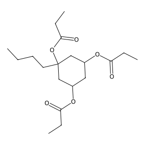 CCCCC1(OC(=O)CC)CC(OC(=O)CC)CC(OC(=O)CC)C1